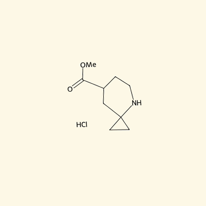 COC(=O)C1CCNC2(CC2)C1.Cl